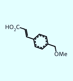 COCc1ccc(C=CC(=O)O)cc1